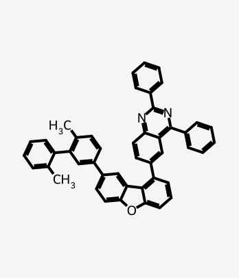 Cc1ccccc1-c1cc(-c2ccc3oc4cccc(-c5ccc6nc(-c7ccccc7)nc(-c7ccccc7)c6c5)c4c3c2)ccc1C